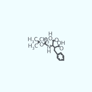 CC(C)(C)OC(=O)NC(C(=O)O)C(Cc1ccccc1)C(=O)O